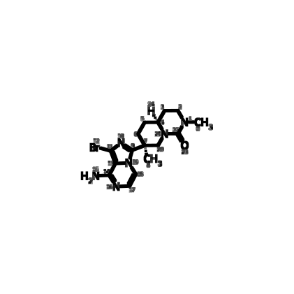 CN1CC[C@@H]2CC[C@](C)(c3nc(Br)c4c(N)nccn34)CN2C1=O